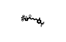 Cc1cc(C(F)F)ccc1CCCCC(=O)c1ccc(S(C)(=O)=O)s1